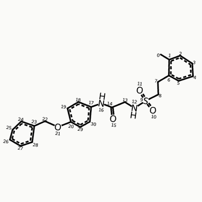 Cc1ccccc1CCS(=O)(=O)NCC(=O)Nc1ccc(OCc2ccccc2)cc1